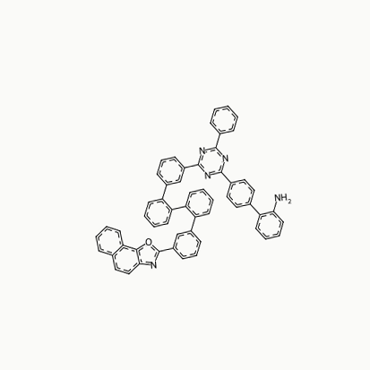 Nc1ccccc1-c1ccc(-c2nc(-c3ccccc3)nc(-c3cccc(-c4ccccc4-c4ccccc4-c4cccc(-c5nc6ccc7ccccc7c6o5)c4)c3)n2)cc1